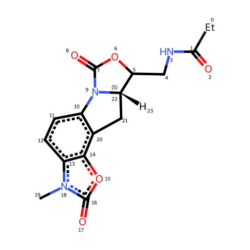 CCC(=O)NCC1OC(=O)N2c3ccc4c(oc(=O)n4C)c3C[C@@H]12